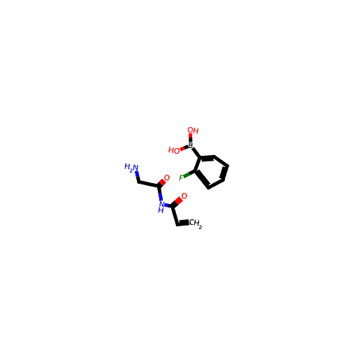 C=CC(=O)NC(=O)CN.OB(O)c1ccccc1F